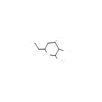 COC1OC(CCl)C[C@@H](O)C1O